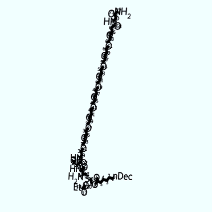 CCCCCCCCCCCCCCCC(=O)O[C@H](COC(=O)CC)CSC[C@H](N)C(=O)N[C@@H](CO)C(=O)NCCOCCOCCOCCOCCOCCOCCOCCOCCOCCOCCOCCOCCC(=O)NCC(N)=O